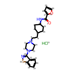 Cl.O=C(NC1CCC(CCN2CCN(c3nsc4ccccc34)CC2)CC1)c1ccco1